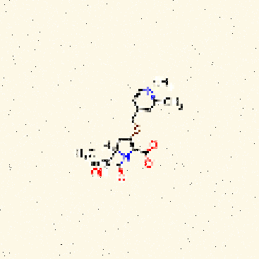 Cc1cc(CSC2=C(C(=O)[O-])N3C(=O)[C@H]([C@@H](C)O)[C@H]3C2)cc[n+]1C